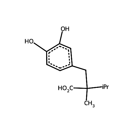 CC(C)C(C)(Cc1ccc(O)c(O)c1)C(=O)O